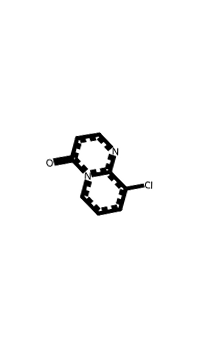 O=c1ccnc2c(Cl)cccn12